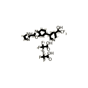 O=C(O)C(F)(F)F.O=C(O)C(F)(F)F.OC(c1cncc(-c2ccc3nc(-c4ncc[nH]4)oc3c2)c1)C(F)(F)F